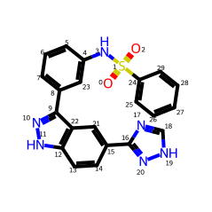 O=S(=O)(Nc1cccc(-c2n[nH]c3ccc(-c4nc[nH]n4)cc23)c1)c1ccccc1